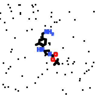 Cc1cc(CN)ccc1NC1CN(C(=O)OC(C)(C)C)C1